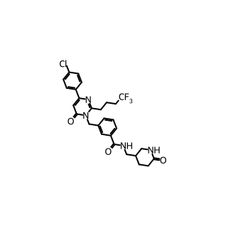 O=C1CCC(CNC(=O)c2cccc(Cn3c(CCCC(F)(F)F)nc(-c4ccc(Cl)cc4)cc3=O)c2)CN1